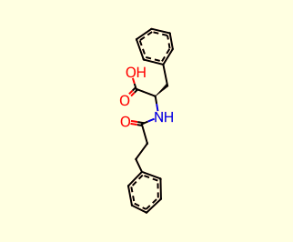 O=C(CCc1ccccc1)N[C@H](Cc1ccccc1)C(=O)O